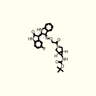 CC(C)(C)OC(=O)NC1[C@H]2CN(C(=O)CO/N=C3/C(=C4/C(=O)Nc5ccc(F)cc54)Nc4ccccc43)C[C@@H]12